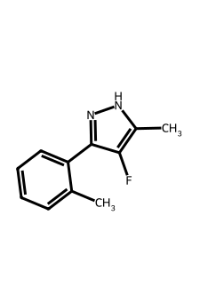 Cc1ccccc1-c1n[nH]c(C)c1F